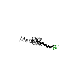 CO[Si](C=CCCCCCCCCCBr)(OC)OC